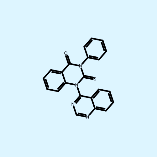 O=c1c2ccccc2n(-c2ncnc3ccccc23)c(=S)n1-c1ccccc1